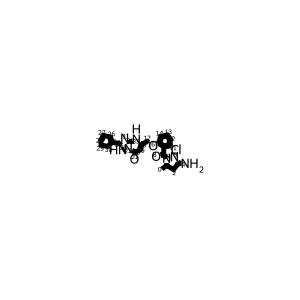 CC1CC(N)=NN1C(=O)c1c(Cl)cccc1OCC1=CC(=O)N2NC(C3=CC=CCC3)N=C2N1